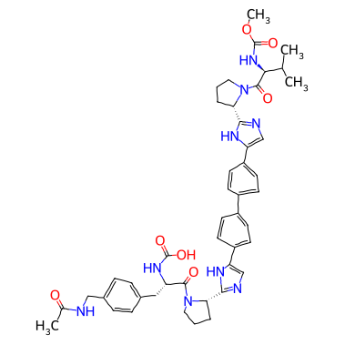 COC(=O)N[C@H](C(=O)N1CCC[C@H]1c1ncc(-c2ccc(-c3ccc(-c4cnc([C@@H]5CCCN5C(=O)[C@H](Cc5ccc(CNC(C)=O)cc5)NC(=O)O)[nH]4)cc3)cc2)[nH]1)C(C)C